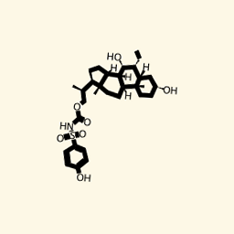 CC[C@H]1[C@@H](O)[C@@H]2[C@H](CC[C@]3(C)[C@@H]([C@H](C)COC(=O)NS(=O)(=O)c4ccc(O)cc4)CC[C@@H]23)[C@@]2(C)CC[C@@H](O)C[C@@H]12